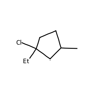 CCC1(Cl)[CH]C(C)CC1